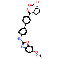 COc1ccc2nc(Nc3ccc(-c4ccc(C(=O)[C@@H]5CCC[C@H]5C(=O)O)cc4)cc3)oc2c1